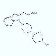 CC(=O)OCCc1cc2ccccc2n1C1CCN([C@H]2CC[C@@H](C(C)C)CC2)CC1